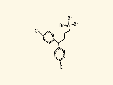 Clc1ccc(C(CC[CH2][Sn]([Br])([Br])[Br])c2ccc(Cl)cc2)cc1